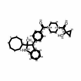 CC1(C2CCCCCCC2)Nc2ccccc2C1c1ccc(C(=O)N2CCN(C(=O)C3(O)CC3)CC2)cc1